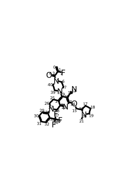 C=C(F)C(=O)N1CCN(c2c(C#N)c(OCC3CCCN3C)nc3c2CCN(c2ccccc2C(F)(F)F)C3)CC1